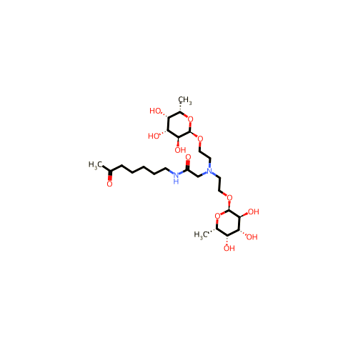 CC(=O)CCCCCNC(=O)CN(CCO[C@@H]1O[C@@H](C)[C@@H](O)[C@@H](O)[C@@H]1O)CCO[C@@H]1O[C@@H](C)[C@@H](O)[C@@H](O)[C@@H]1O